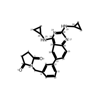 O=C1CCC(=O)N1Cc1cccc(-c2ccc3nc(NC4CC4)nc(NC4CC4)c3c2)c1